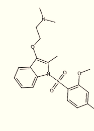 COc1ccc(S(=O)(=O)n2c(C)c(OCCN(C)C)c3ccccc32)c(OC)c1